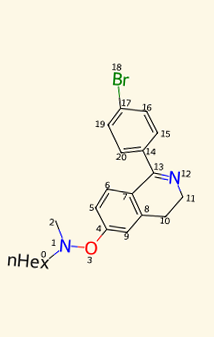 CCCCCCN(C)Oc1ccc2c(c1)CCN=C2c1ccc(Br)cc1